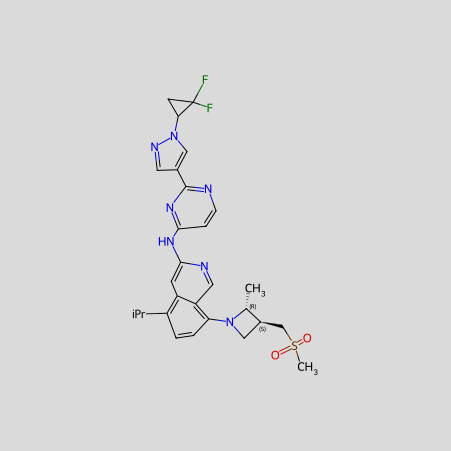 CC(C)c1ccc(N2C[C@H](CS(C)(=O)=O)[C@H]2C)c2cnc(Nc3ccnc(-c4cnn(C5CC5(F)F)c4)n3)cc12